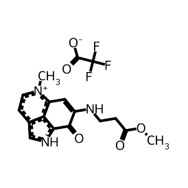 COC(=O)CCNC1=Cc2c3c([nH]cc3cc[n+]2C)C1=O.O=C([O-])C(F)(F)F